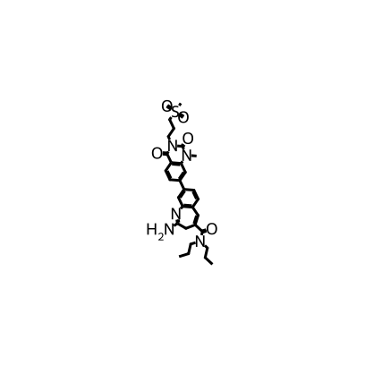 CCCN(CCC)C(=O)C1=Cc2ccc(-c3ccc4c(=O)n(CCCS(C)(=O)=O)c(=O)n(C)c4c3)cc2N=C(N)C1